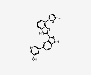 Cc1ccc(-c2cccc3[nH]c(-c4n[nH]c5ccc(-c6cncc(O)c6)nc45)nc23)s1